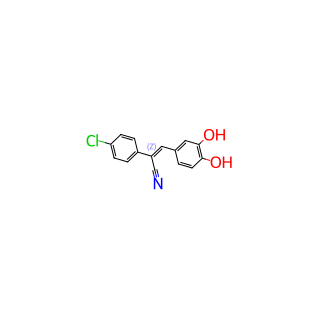 N#C/C(=C\c1ccc(O)c(O)c1)c1ccc(Cl)cc1